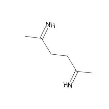 CC(=N)CCC(C)=N